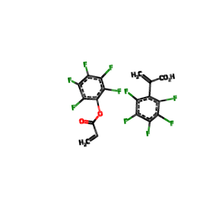 C=C(C(=O)O)c1c(F)c(F)c(F)c(F)c1F.C=CC(=O)Oc1c(F)c(F)c(F)c(F)c1F